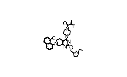 C=C(F)C(=O)N1CCN(c2nc(OCC3CCN3CC)nc3c2CCN(c2cccc4cccc(Cl)c24)C3)CC1